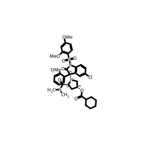 COc1ccc(S(=O)(=O)N2C(=O)[C@@](c3ccccc3OC)(N3C[C@H](OC(=O)C4CCCCC4)C[C@H]3C(=O)N(C)C)c3cc(Cl)ccc32)c(OC)c1